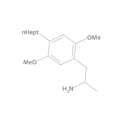 CCCCCCCc1cc(OC)c(CC(C)N)cc1OC